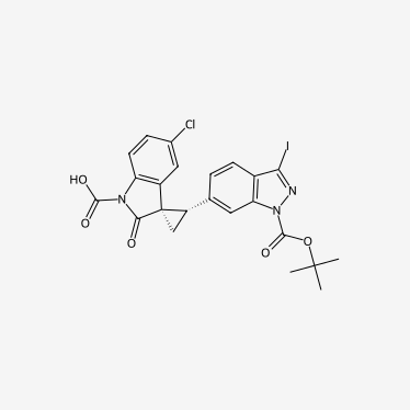 CC(C)(C)OC(=O)n1nc(I)c2ccc([C@@H]3C[C@@]34C(=O)N(C(=O)O)c3ccc(Cl)cc34)cc21